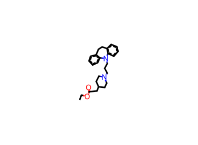 CCOC(=O)CC1CCN(CCCN2c3ccccc3CCc3ccccc32)CC1